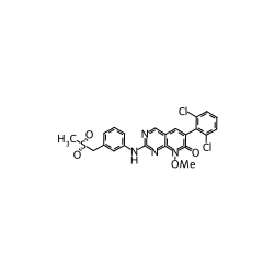 COn1c(=O)c(-c2c(Cl)cccc2Cl)cc2cnc(Nc3cccc(CS(C)(=O)=O)c3)nc21